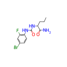 CCCC(NC(=O)Nc1ccc(Br)cc1F)C(N)=O